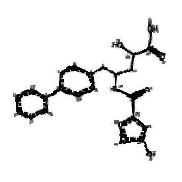 O=C(NC(Cc1ccc(-c2ccccc2)cc1)CC(O)C(=O)O)c1cc(O)no1